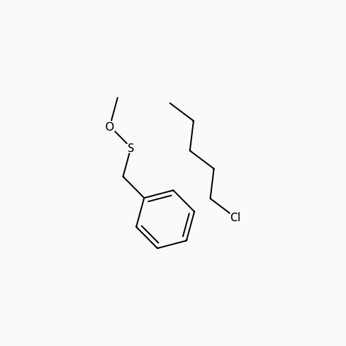 CCCCCCl.COSCc1ccccc1